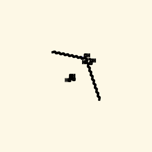 CCCCCCCCCCCCC/C=C/[C@@H](O)[C@H](CO)NC(=O)CCCCCCCCCCCCCCCCC.O=[Se](O)O